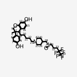 CC1(c2ccc(O)cc2)COc2cc(O)ccc2C1CCCCCN1CCC(C[S+]([O-])CCCC(F)(F)C(F)(F)F)CC1